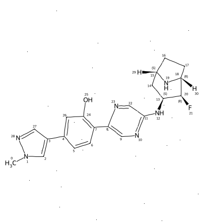 Cn1cc(-c2ccc(-c3cnc(N[C@H]4C[C@@H]5CC[C@@H](N5)[C@H]4F)cn3)c(O)c2)cn1